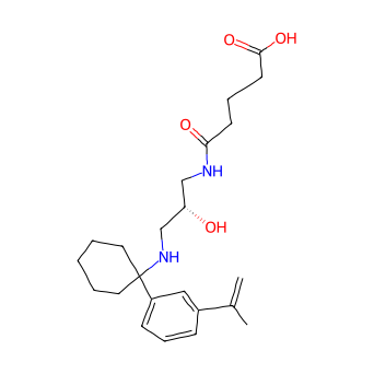 C=C(C)c1cccc(C2(NC[C@@H](O)CNC(=O)CCCC(=O)O)CCCCC2)c1